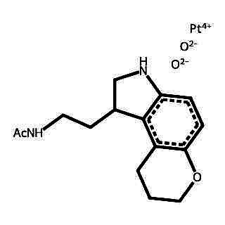 CC(=O)NCCC1CNc2ccc3c(c21)CCCO3.[O-2].[O-2].[Pt+4]